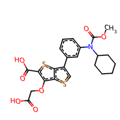 COC(=O)N(c1cccc(-c2csc3c(OCC(=O)O)c(C(=O)O)sc23)c1)C1CCCCC1